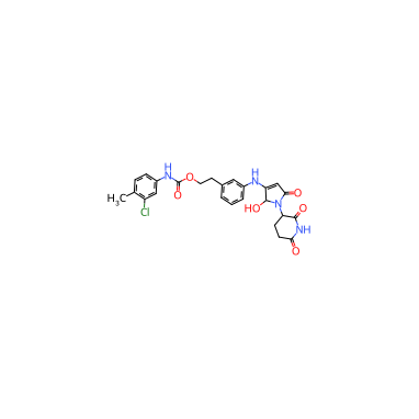 Cc1ccc(NC(=O)OCCc2cccc(NC3=CC(=O)N(C4CCC(=O)NC4=O)C3O)c2)cc1Cl